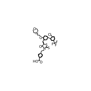 O=C(O)c1ccc(CCN2C(=O)C(=Cc3cc(-c4cc(C(F)(F)F)ccc4Cl)ccc3OCCN3CCOCC3)SC2=S)cc1